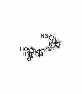 N#Cc1cccc(-c2nc(OCCCNC[C@H](O)c3ccc(O)c4[nH]c(=O)sc34)cc3cccnc23)c1